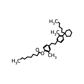 CCCCCCCC(=O)Oc1ccc(CCc2ccc(C3(CCCCC)CCCCC3)c(C)c2)cc1C